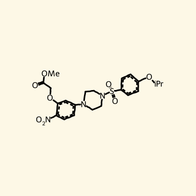 COC(=O)COc1cc(N2CCN(S(=O)(=O)c3ccc(OC(C)C)cc3)CC2)ccc1[N+](=O)[O-]